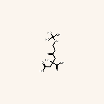 O=C(O)CC(O)(CC(=O)OCNC(O)(O)O)C(=O)O